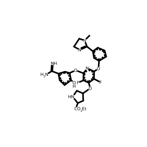 CCOC(=O)C1CC(Oc2c(F)c(Oc3cccc(C4=NCCN4C)c3)nc(Oc3cc(C(=N)N)ccc3O)c2F)CN1